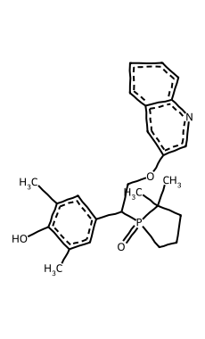 Cc1cc(C(COc2cnc3ccccc3c2)P2(=O)CCCC2(C)C)cc(C)c1O